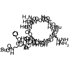 CC[C@H](C)C1NC(=O)[C@@H](CCCNC(=N)N)NC(=O)[C@H](CC(C)C)NC(=O)[C@H]([C@H](O)C(C)C)NC(=O)[C@@H](NC(=O)[C@H](CC(C)C)NC(=O)[C@@H](CCCCNC(=O)OC(C)(C)C)NC(=O)OCc2ccccc2)[C@@H](c2ccccc2)OC(=O)[C@H](CO)NC(=O)[C@H]([C@H](O)C(N)=O)NC(=O)CNC(=O)C([C@H](C)O)NC1=O